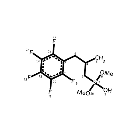 CO[Si](O)(CC(C)Cc1c(F)c(F)c(F)c(F)c1F)OC